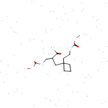 CC[C@@H](NC(=O)OC(C)(C)C)C(CC1(CCNC(=O)OC(C)(C)C)CCC1)C(=O)OC